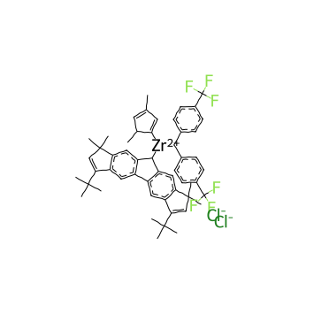 CC1=CC(C)[C]([Zr+2](=[C](c2ccc(C(F)(F)F)cc2)c2ccc(C(F)(F)F)cc2)[CH]2c3cc4c(cc3-c3cc5c(cc32)C(C)(C)C=C5C(C)(C)C)C(C(C)(C)C)=CC4(C)C)=C1.[Cl-].[Cl-]